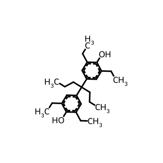 CCCC(CCC)(c1cc(CC)c(O)c(CC)c1)c1cc(CC)c(O)c(CC)c1